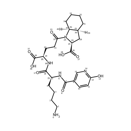 NCCCC[C@H](NC(=O)c1ccc(O)nc1)C(=O)N[C@H](CCC(=O)N1[C@H](C(=O)O)C[C@@H]2CCCC[C@@H]21)C(=O)O